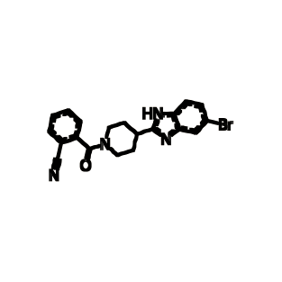 N#Cc1ccccc1C(=O)N1CCC(c2nc3cc(Br)ccc3[nH]2)CC1